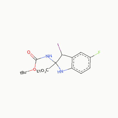 CCOC(=O)C1(NC(=O)OC(C)(C)C)Nc2ccc(F)cc2C1I